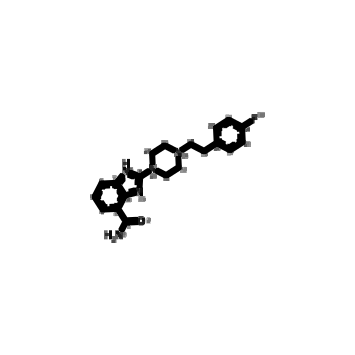 NC(=O)c1cccc2[nH]c(N3CCN(CCc4ccc(F)cc4)CC3)nc12